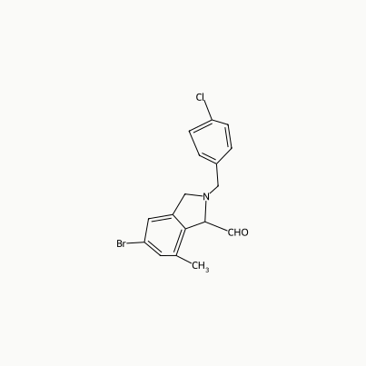 Cc1cc(Br)cc2c1C(C=O)N(Cc1ccc(Cl)cc1)C2